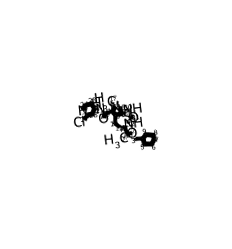 C[C@@H](OCc1ccccc1)[C@H]1CCc2c(cn(C)c2C(=O)Nc2ccnc(Cl)c2)S(=N)(=O)N1